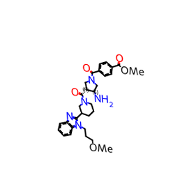 COCCCn1c(C2CCCN(C(=O)[C@@H]3CN(C(=O)c4ccc(C(=O)OC)cc4)C[C@H]3N)C2)nc2ccccc21